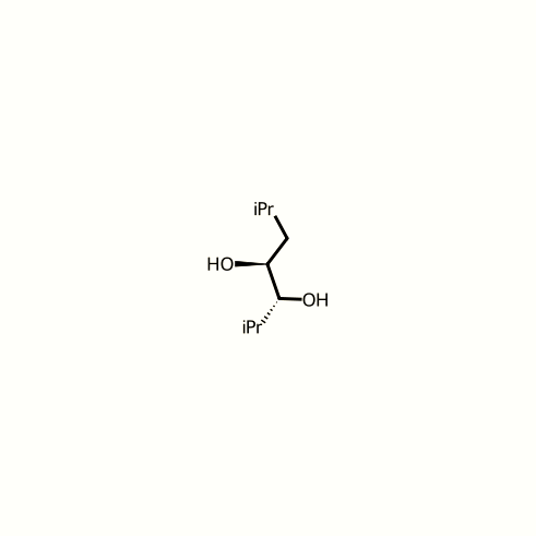 CC(C)C[C@H](O)[C@H](O)C(C)C